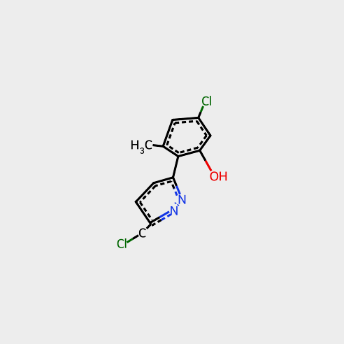 Cc1cc(Cl)cc(O)c1-c1ccc(CCl)nn1